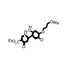 CCOC(=O)c1c[nH]c(-c2cc(Cl)c(OCCCOC)cc2O)cc1=O